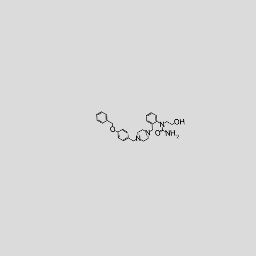 NC(=O)N(CCO)c1ccccc1CN1CCN(Cc2ccc(OCc3ccccc3)cc2)CC1